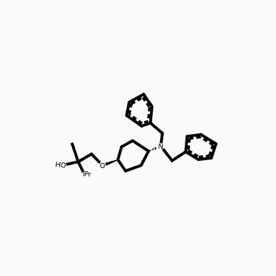 CC(C)C(C)(O)CO[C@H]1CC[C@H](N(Cc2ccccc2)Cc2ccccc2)CC1